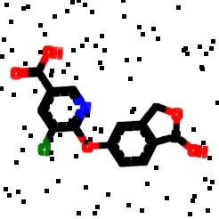 O=C(O)c1cnc(Oc2ccc3c(c2)COB3O)c(Cl)c1